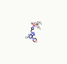 CC(C)(C)OC(=O)N1CC(Cn2nnc3c(N4CCOCC4)nc(Cl)nc32)C1